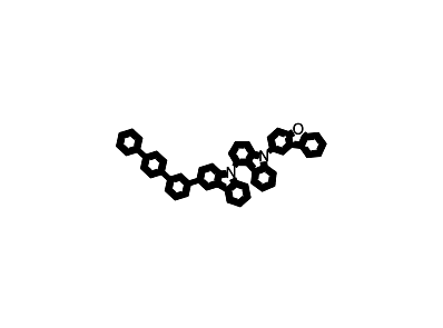 c1ccc(-c2ccc(-c3cccc(-c4ccc5c(c4)c4ccccc4n5-c4cccc5c4c4ccccc4n5-c4ccc5oc6ccccc6c5c4)c3)cc2)cc1